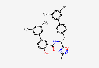 Cc1noc([C@@H](Cc2ccc(-c3cc(C(F)(F)F)cc(C(F)(F)F)c3)cc2)NC(=O)c2cc(-c3cc(C(F)(F)F)cc(C(F)(F)F)c3)ccc2O)n1